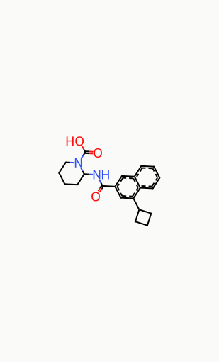 O=C(NC1CCCCN1C(=O)O)c1cc(C2CCC2)c2ccccc2c1